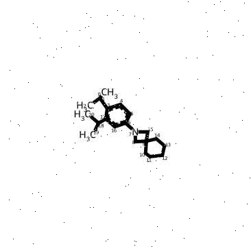 CC(C)c1ccc(N2CC3(CCCCC3)C2)cc1C(C)C